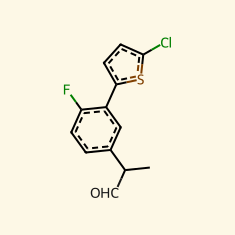 CC(C=O)c1ccc(F)c(-c2ccc(Cl)s2)c1